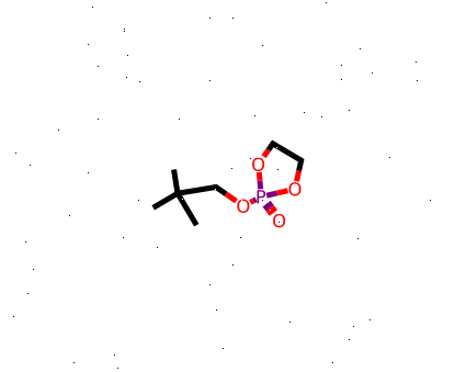 CC(C)(C)COP1(=O)OCCO1